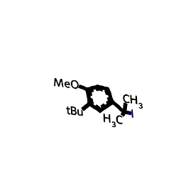 COc1ccc(C(C)(C)I)cc1C(C)(C)C